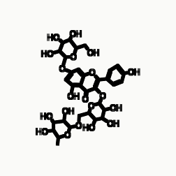 CC1OC(OCC2OC(Oc3c(-c4ccc(O)cc4)oc4cc(OC5OC(CO)C(O)C(O)C5O)cc(O)c4c3=O)C(O)C(O)C2O)C(O)C(O)C1O